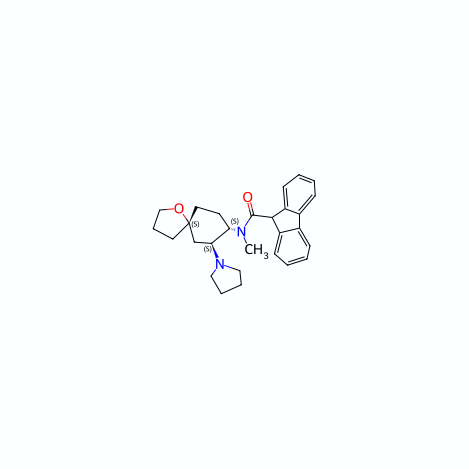 CN(C(=O)C1c2ccccc2-c2ccccc21)[C@H]1CC[C@]2(CCCO2)C[C@@H]1N1CCCC1